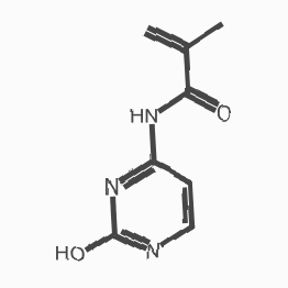 C=C(C)C(=O)Nc1ccnc(O)n1